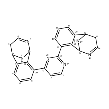 C1=NC2NC(C1)c1cccc(-c3ccnc(-c4cccc5c4C4N=CCC5N4)n3)c12